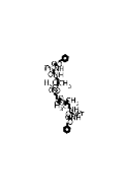 CC(C)[C@H](NC(=O)OCc1ccccc1)C(=O)NCCC(C)(C)COS(=O)(=O)CCCS(=O)(=O)OCC(C)(C)CCNC(=O)[C@@H](NC(=O)OCc1ccccc1)C(C)C